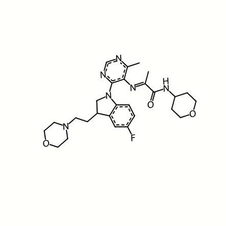 C/C(=N\c1c(C)ncnc1N1CC(CCN2CCOCC2)c2cc(F)ccc21)C(=O)NC1CCOCC1